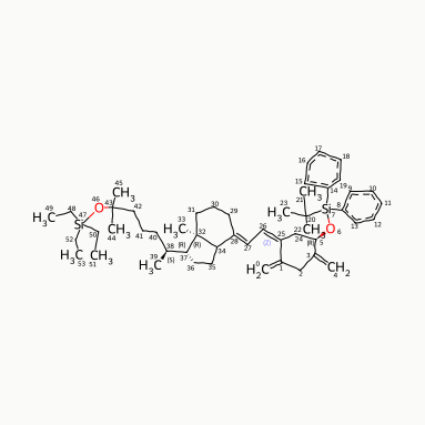 C=C1CC(=C)[C@H](O[Si](c2ccccc2)(c2ccccc2)C(C)(C)C)C/C1=C/C=C1CCC[C@@]2(C)C1CC[C@@H]2[C@@H](C)CCCC(C)(C)O[Si](CC)(CC)CC